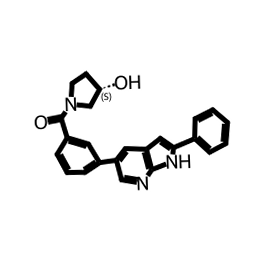 O=C(c1cccc(-c2cnc3[nH]c(-c4ccccc4)cc3c2)c1)N1CC[C@H](O)C1